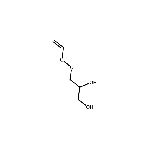 C=COOCC(O)CO